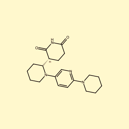 O=C1CC[C@H](C2CCCCN2c2ccc(N3CCCCC3)nc2)C(=O)N1